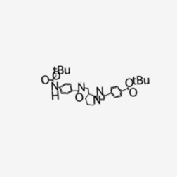 CN(CC1CCCn2cc(-c3ccc(C(=O)OC(C)(C)C)cc3)nc21)C(=O)c1ccc(NC(=O)OC(C)(C)C)cc1